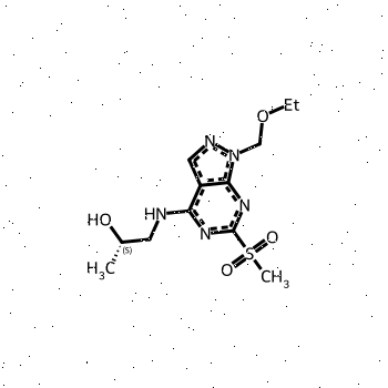 CCOCn1ncc2c(NC[C@H](C)O)nc(S(C)(=O)=O)nc21